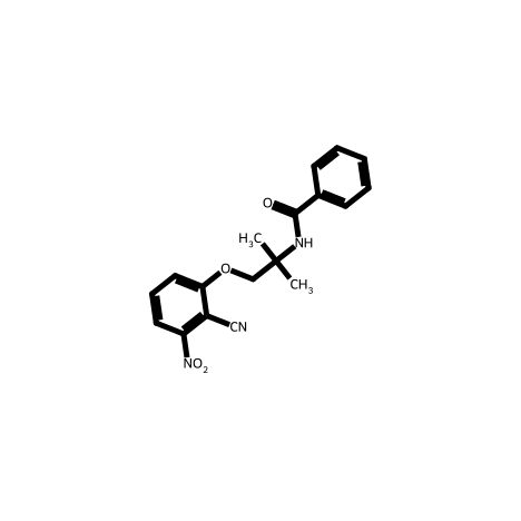 CC(C)(COc1cccc([N+](=O)[O-])c1C#N)NC(=O)c1ccccc1